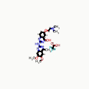 COc1cc2nc(Nc3nc(O)c4cc(OCCN(C)C)ccc4n3)nc(C)c2cc1OC.O=C(O)C(F)(F)F